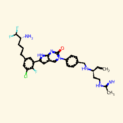 C=C[C@@H](CCNC(C)=N)NCc1ccc(-n2cc3cc(-c4cc(CCC[C@@H](N)C(F)F)cc(Cl)c4F)[nH]c3nc2=O)cc1